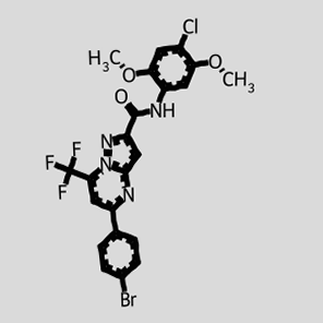 COc1cc(NC(=O)c2cc3nc(-c4ccc(Br)cc4)cc(C(F)(F)F)n3n2)c(OC)cc1Cl